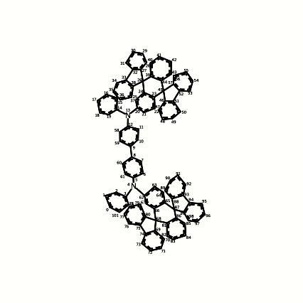 c1ccc(N(c2ccc(-c3ccc(N(c4ccccc4)c4ccc5c(c4)C4(c6ccccc6-c6ccccc64)c4ccccc4C54c5ccccc5-c5ccccc54)cc3)cc2)c2ccc3c(c2)C2(c4ccccc4-c4ccccc42)c2ccccc2C32c3ccccc3-c3ccccc32)cc1